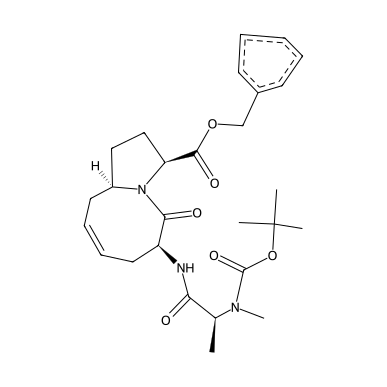 C[C@@H](C(=O)N[C@H]1CC=CC[C@H]2CC[C@@H](C(=O)OCc3ccccc3)N2C1=O)N(C)C(=O)OC(C)(C)C